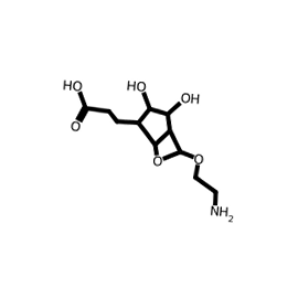 NCCOC1OC2C(CCC(=O)O)C(O)C(O)C12